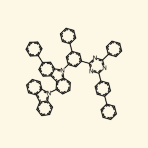 c1ccc(-c2ccc(-c3nc(-c4ccccc4)nc(-c4cc(-c5ccccc5)cc(-n5c6cc(-c7ccccc7)ccc6c6c(-n7c8ccccc8c8ccccc87)cccc65)c4)n3)cc2)cc1